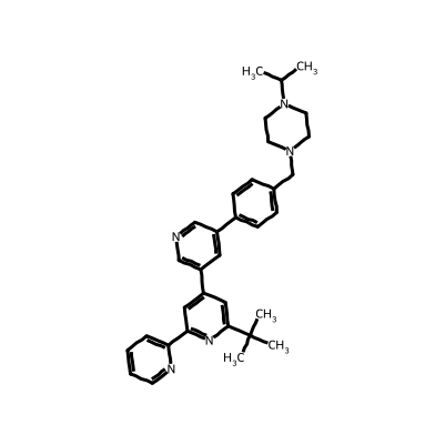 CC(C)N1CCN(Cc2ccc(-c3cncc(-c4cc(-c5ccccn5)nc(C(C)(C)C)c4)c3)cc2)CC1